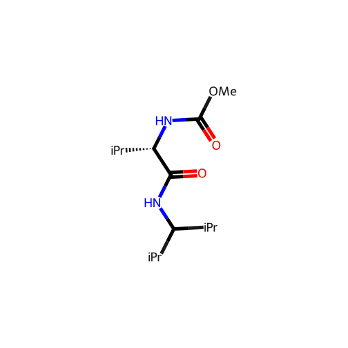 COC(=O)N[C@H](C(=O)NC(C(C)C)C(C)C)C(C)C